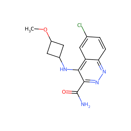 COC1CC(Nc2c(C(N)=O)nnc3ccc(Cl)cc23)C1